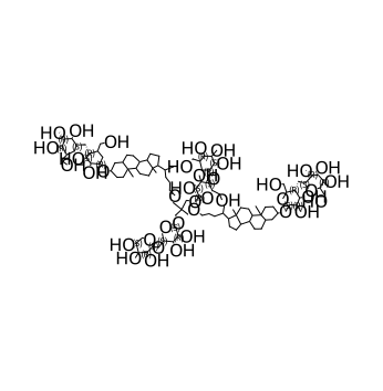 CC(CCCOCC(COCCCC(C)C1CCC2C3CCC4CC(O[C@@H]5CC(CO)[C@@H](C[C@H]6CC(CO)[C@@H](O)[C@H](O)C6O)[C@H](O)C5O)CCC4(C)C3CCC12C)(CO[C@H]1OC[C@H](O[C@@H]2OC[C@H](O)C(O)[C@H]2O)C(O)[C@H]1O)CO[C@@H]1OC(CO)[C@@H](O[C@@H]2CC(CO)[C@@H](O)C(O)[C@@H]2O)C(O)[C@@H]1O)C1CCC2C3CCC4CC(O[C@H]5OC(CO)[C@H](C[C@@H]6OC(CO)[C@H](O)C(O)[C@H]6O)C(O)[C@H]5O)CCC4(C)C3CCC12C